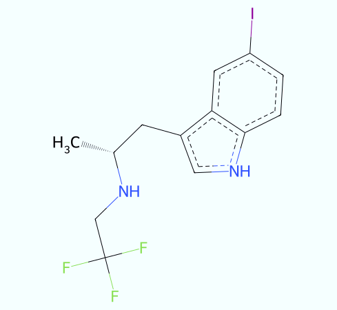 C[C@H](Cc1c[nH]c2ccc(I)cc12)NCC(F)(F)F